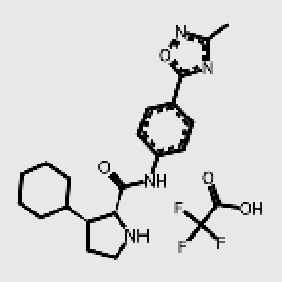 Cc1noc(-c2ccc(NC(=O)[C@H]3NCC[C@H]3C3CCCCC3)cc2)n1.O=C(O)C(F)(F)F